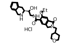 CCOc1cc2c(cc1C(=O)NCC(O)[C@@H]1Cc3ccccc3CN1)CN(CC1CCOCC1)C2=O.Cl